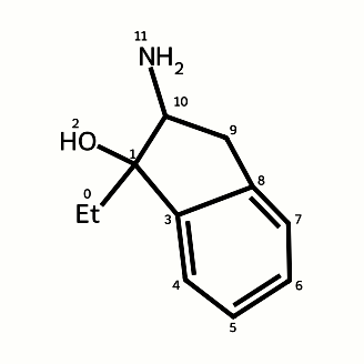 CCC1(O)c2ccccc2CC1N